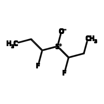 CCC(F)[S+]([O-])C(F)CC